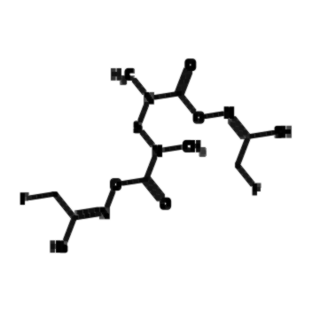 CN(SN(C)C(=O)O/N=C(/S)CF)C(=O)O/N=C(/S)CF